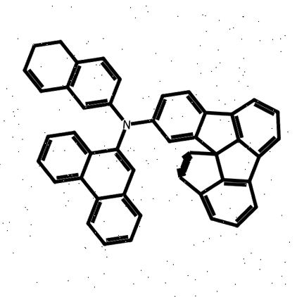 C1=Cc2cc(N(c3ccc4c(c3)C35c6ccccc6-c6cccc(c63)-c3cccc-4c35)c3cc4ccccc4c4ccccc34)ccc2CC1